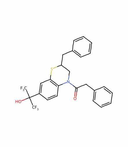 O=C(Cc1ccccc1)N1CC(Cc2ccccc2)Sc2cc(C(O)(C(F)(F)F)C(F)(F)F)ccc21